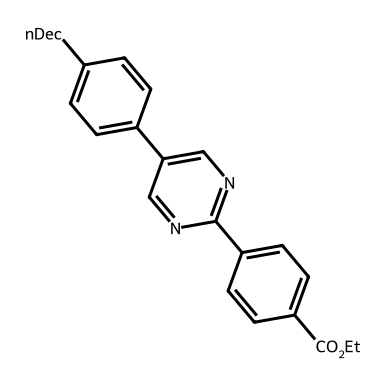 CCCCCCCCCCc1ccc(-c2cnc(-c3ccc(C(=O)OCC)cc3)nc2)cc1